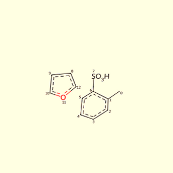 Cc1ccccc1S(=O)(=O)O.c1ccoc1